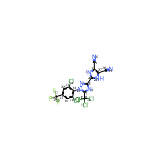 N#Cc1nc(-c2nc(C(Cl)(Cl)Cl)n(-c3c(Cl)cc(C(F)(F)F)cc3Cl)n2)[nH]c1C#N